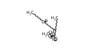 CCCCCCCCCOC(=O)CCCCCCCN(CCCCCCCC)CCCN(C(=O)OC(C)(C)C)c1nccs1